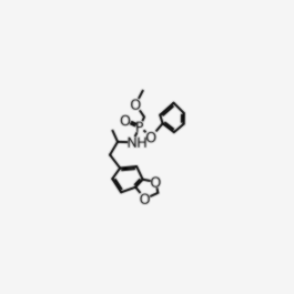 COCP(=O)(NC(C)Cc1ccc2c(c1)OCO2)Oc1ccccc1